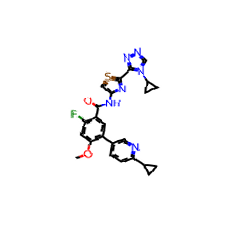 COc1cc(F)c(C(=O)Nc2csc(-c3nncn3C3CC3)n2)cc1-c1ccc(C2CC2)nc1